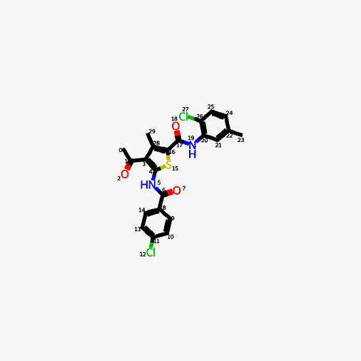 CC(=O)c1c(NC(=O)c2ccc(Cl)cc2)sc(C(=O)Nc2cc(C)ccc2Cl)c1C